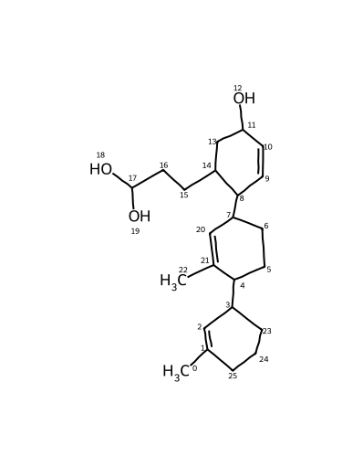 CC1=CC(C2CCC(C3C=CC(O)CC3CCC(O)O)C=C2C)CCC1